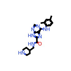 Cc1ccc(Nc2ncnc3[nH]c(C(=O)NCC4CCNCC4)nc23)c(C)c1